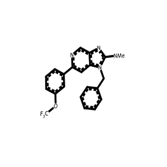 CNc1nc2cnc(-c3cccc(OC(F)(F)F)c3)cc2n1Cc1ccccc1